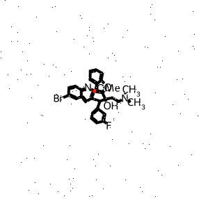 COc1nc2ccc(Br)cc2cc1C(c1cccc(F)c1)C(O)(CCN(C)C)c1cc2ccccc2o1